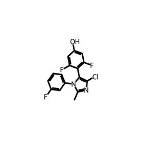 Cc1nc(Cl)c(-c2c(F)cc(O)cc2F)n1-c1cccc(F)c1